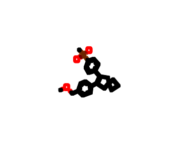 COCc1ccc(C2=C(c3ccc(S(C)(=O)=O)cc3)CC3(CCC3)C2)cc1